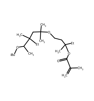 C=C(C)C(=O)OC(C)(CC)CCOC(C)(C)CC(C)(CC)C(C)OC(C)CC